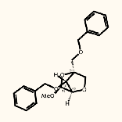 CO[C@H]1O[C@@]2(COCc3ccccc3)CO[C@@H]1[C@@H]2OCc1ccccc1